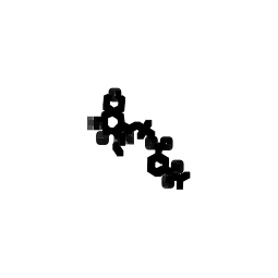 CCn1nc(CC(C)(C)COC(=O)c2cccc(S(=O)(=O)C(C)C)c2)c2c1C(=O)NCC1(CCOCC1)C2